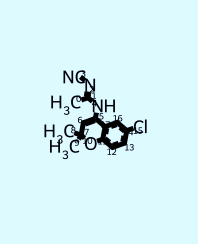 C/C(=N\C#N)NC1=CC(C)(C)Oc2ccc(Cl)cc21